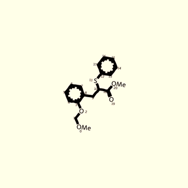 COCOc1ccccc1CC(Sc1ccccc1)C(=O)OC